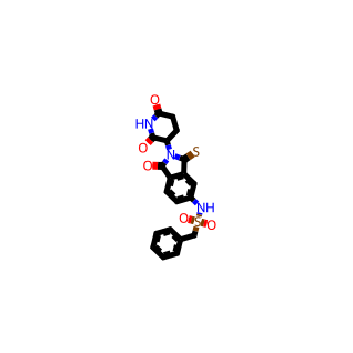 O=C1CCC(N2C(=O)c3ccc(NS(=O)(=O)Cc4ccccc4)cc3C2=S)C(=O)N1